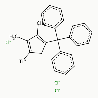 CC1=[C]([Ti+3])CC(C(c2ccccc2)(c2ccccc2)c2ccccc2)=C1C.[Cl-].[Cl-].[Cl-]